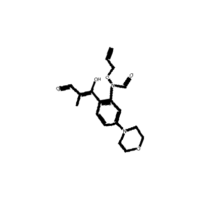 C=CCON(C=O)c1cc(N2CCOCC2)ccc1/C(O)=C(\C)C=O